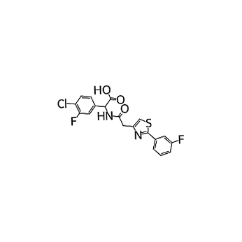 O=C(Cc1csc(-c2cccc(F)c2)n1)NC(C(=O)O)c1ccc(Cl)c(F)c1